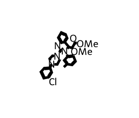 COC(=O)CC1c2ccccc2N=C(N2CCN(c3cccc(Cl)c3)CC2)N1c1cc(C)ccc1OC